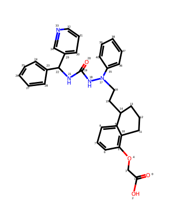 O=C(O)COc1cccc2c1CCCC2CCN(NC(=O)NC(c1ccccc1)c1cccnc1)c1ccccc1